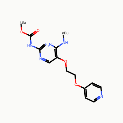 C=C(/N=C\C(OCCOc1ccncc1)=C(/N)NCCCC)NC(=O)OC(C)(C)C